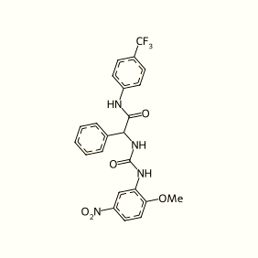 COc1ccc([N+](=O)[O-])cc1NC(=O)NC(C(=O)Nc1ccc(C(F)(F)F)cc1)c1ccccc1